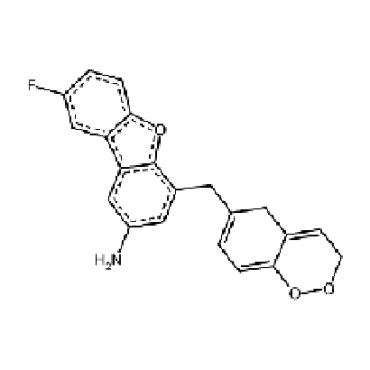 Nc1cc(CC2=CC=C3OOCC=C3C2)c2oc3ccc(F)cc3c2c1